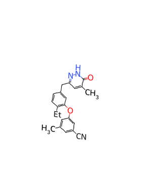 CCc1ccc(Cc2cc(C)c(=O)[nH]n2)cc1Oc1cc(C)cc(C#N)c1